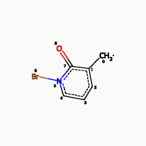 [CH2]c1cccn(Br)c1=O